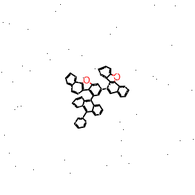 c1ccc(-c2c3ccccc3c(-c3cc(-c4cc5ccccc5c5oc6ccccc6c45)cc4oc5c6ccccc6ccc5c34)c3ccccc23)cc1